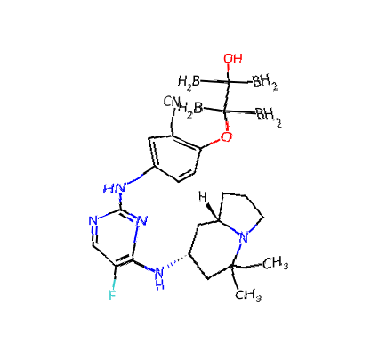 BC(B)(O)C(B)(B)Oc1ccc(Nc2ncc(F)c(N[C@@H]3C[C@@H]4CCCN4C(C)(C)C3)n2)cc1C#N